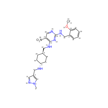 Cn1cc(CN[C@H]2CC[C@H](CNc3nc(NCc4ccccc4OC(F)(F)F)ncc3[N+](=O)[O-])CC2)cn1